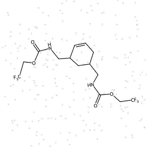 O=C(NCC1C=CCC(CNC(=O)OCC(F)(F)F)C1)OCC(F)(F)F